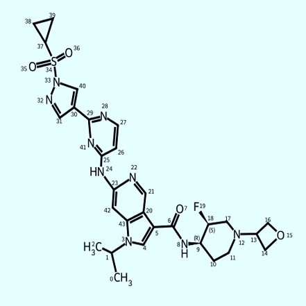 CC(C)n1cc(C(=O)N[C@@H]2CCN(C3COC3)C[C@@H]2F)c2cnc(Nc3ccnc(-c4cnn(S(=O)(=O)C5CC5)c4)n3)cc21